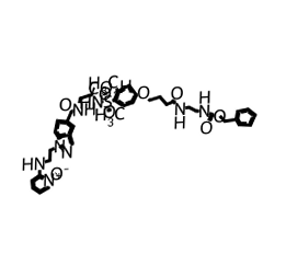 Cc1cc(OCCCC(=O)NCCNC(=O)OCc2ccccc2)cc(C)c1S(=O)(=O)N[C@@H](CNC(=O)c1ccc2c(cnn2CCNc2cccc[n+]2[O-])c1)C(=O)O